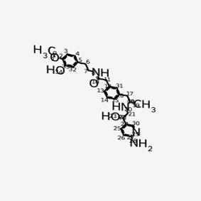 COc1ccc(CCNC(=O)Cc2cccc(C[C@@H](C)NC[C@@H](O)c3ccc(N)nc3)c2)cc1O